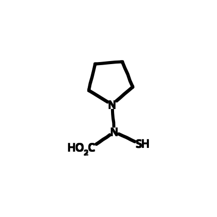 O=C(O)N(S)N1CCCC1